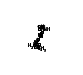 COC(=O)C(c1cc(N2CCC(c3cnc(N4CCC(c5c[nH]c6nnc(-c7ccccc7O)cc56)CC4)nc3)CC2)no1)C(C)C